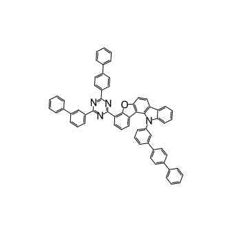 c1ccc(-c2ccc(-c3cccc(-n4c5ccccc5c5ccc6oc7c(-c8nc(-c9ccc(-c%10ccccc%10)cc9)nc(-c9cccc(-c%10ccccc%10)c9)n8)cccc7c6c54)c3)cc2)cc1